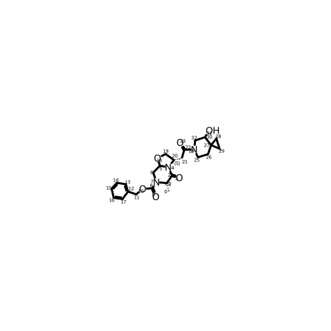 C[C@H]1C(=O)N2C(CN1C(=O)OCc1ccccc1)OC[C@@H]2CC(=O)N1CCC2(CC2)C(O)C1